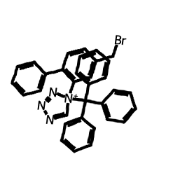 BrCc1ccc(-c2ccccc2)c([N+]2(C(c3ccccc3)(c3ccccc3)c3ccccc3)C=NN=N2)c1